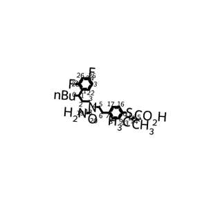 CCCCC(CCN(CCc1ccc(SC(C)(C)C(=O)O)cc1)C(N)=O)c1ccc(F)cc1F